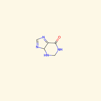 O=C1NCNC2N=CN=C12